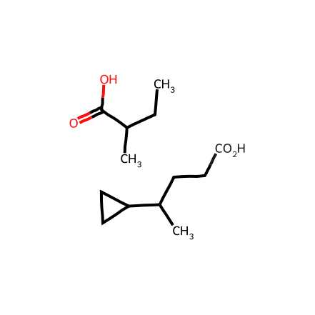 CC(CCC(=O)O)C1CC1.CCC(C)C(=O)O